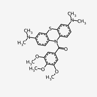 COc1cc(C(=O)N2c3ccc(N(C)C)cc3Sc3cc(N(C)C)ccc32)cc(OC)c1OC